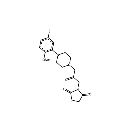 COc1ccc(F)cc1N1CCN(CC(=O)CN2C(=O)CSC2=O)CC1